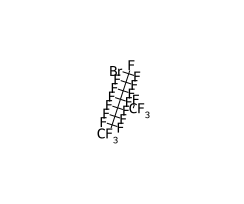 FC(F)(F)C(F)(F)C(F)(F)C(F)(F)C(F)(F)C(F)(F)C(F)(F)C(F)(F)Br.FC(F)(F)F